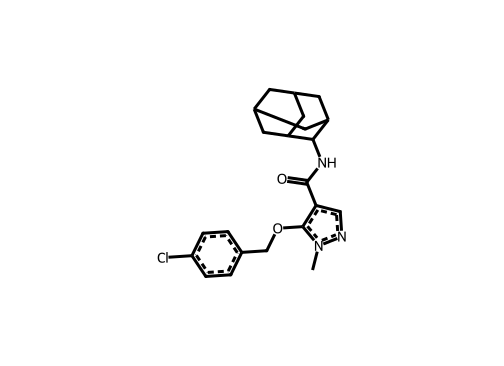 Cn1ncc(C(=O)NC2C3CC4CC(C3)CC2C4)c1OCc1ccc(Cl)cc1